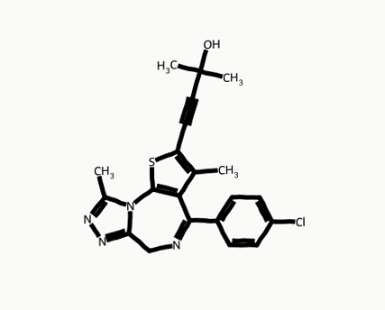 Cc1c(C#CC(C)(C)O)sc2c1C(c1ccc(Cl)cc1)=NCc1nnc(C)n1-2